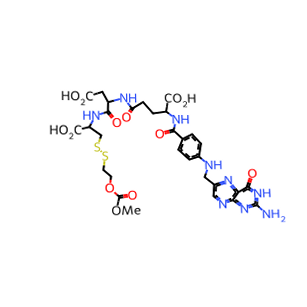 COC(=O)OCCSSCC(NC(=O)C(CC(=O)O)NC(=O)CCC(NC(=O)c1ccc(NCc2cnc3nc(N)[nH]c(=O)c3n2)cc1)C(=O)O)C(=O)O